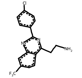 NCCc1nc(-c2ccc(Cl)cc2)nc2cc(C(F)(F)F)ccc12